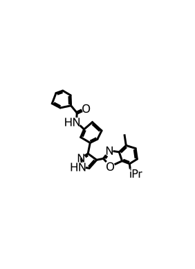 Cc1ccc(C(C)C)c2oc(-c3c[nH]nc3-c3cccc(NC(=O)c4ccccc4)c3)nc12